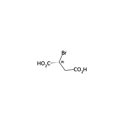 O=C(O)C[C@@H](Br)C(=O)O